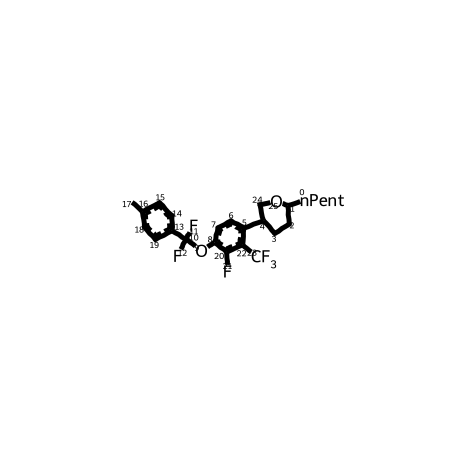 CCCCCC1CCC(c2ccc(OC(F)(F)c3ccc(C)cc3)c(F)c2C(F)(F)F)CO1